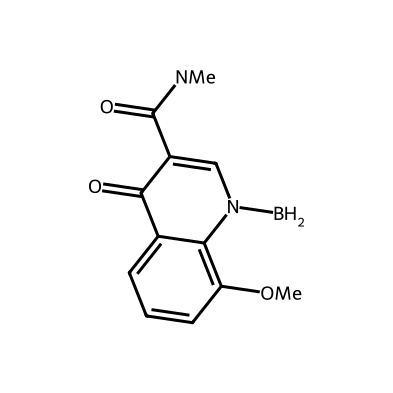 Bn1cc(C(=O)NC)c(=O)c2cccc(OC)c21